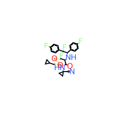 N#CC1(NC(=O)C(CS(=O)(=O)CC2CC2)N[C@H](c2ccc(F)cc2)C(F)(F)c2ccc(F)cc2)CC1